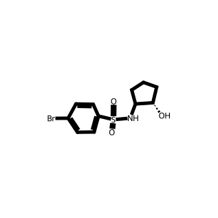 O=S(=O)(NC1CCC[C@@H]1O)c1ccc(Br)cc1